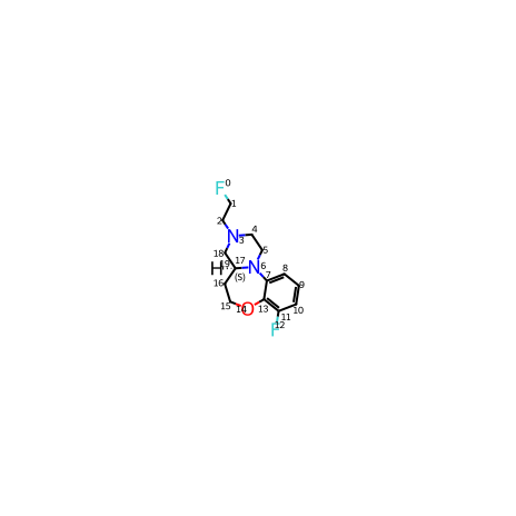 FCCN1CCN2c3cccc(F)c3OCC[C@H]2C1